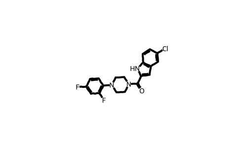 O=C(c1cc2cc(Cl)ccc2[nH]1)N1CCN(c2ccc(F)cc2F)CC1